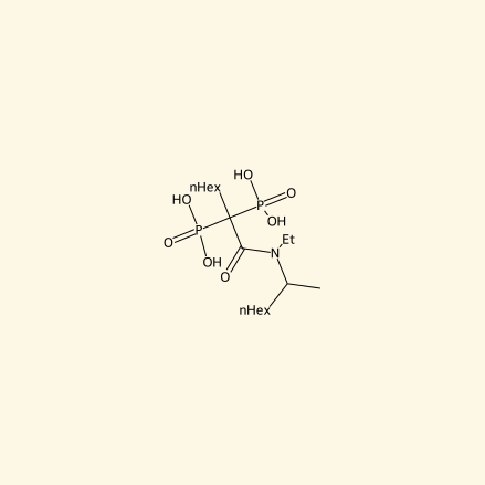 CCCCCCC(C)N(CC)C(=O)C(CCCCCC)(P(=O)(O)O)P(=O)(O)O